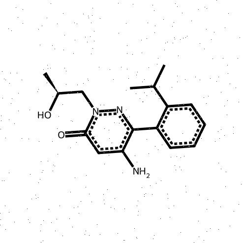 CC(C)c1ccccc1-c1nn(C[C@H](C)O)c(=O)cc1N